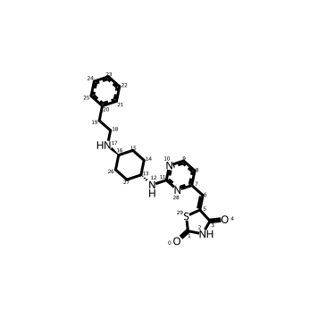 O=C1NC(=O)C(=Cc2ccnc(N[C@H]3CC[C@H](NCCc4ccccc4)CC3)n2)S1